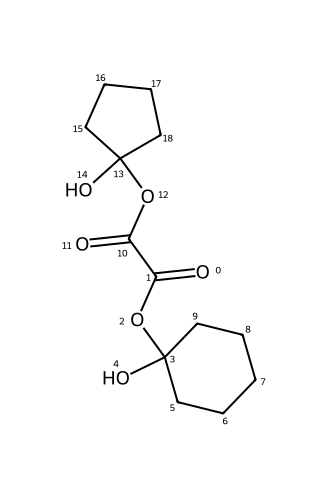 O=C(OC1(O)CCCCC1)C(=O)OC1(O)CCCC1